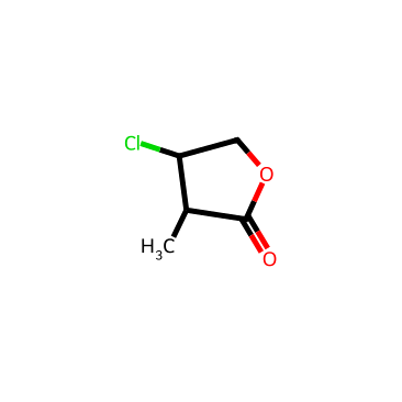 CC1C(=O)OCC1Cl